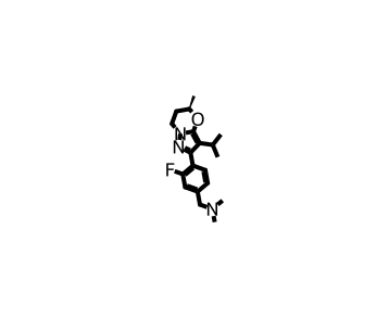 CC(C)c1c(-c2ccc(CN(C)C)cc2F)nn2c1O[C@H](C)CC2